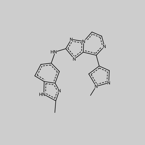 Cc1nc2cc(Nc3nc4c(-c5cnn(C)c5)nccn4n3)ccc2[nH]1